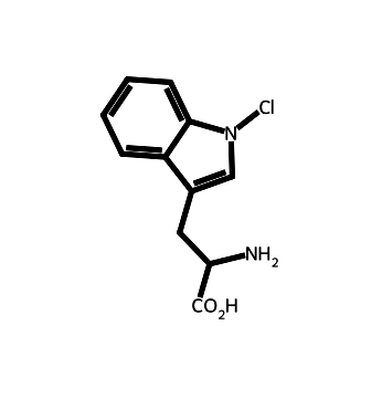 NC(Cc1cn(Cl)c2ccccc12)C(=O)O